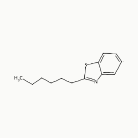 CCCCCCc1nc2c[c]ccc2s1